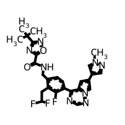 Cn1cc(-c2cc3c(-c4ccc(CNC(=O)c5nc(C(C)(C)C)no5)c(CC(F)F)c4F)ncnn3c2)cn1